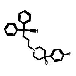 N#CC(CCCN1CCC(O)(c2ccc(F)cc2)CC1)(c1ccccc1)c1ccccc1